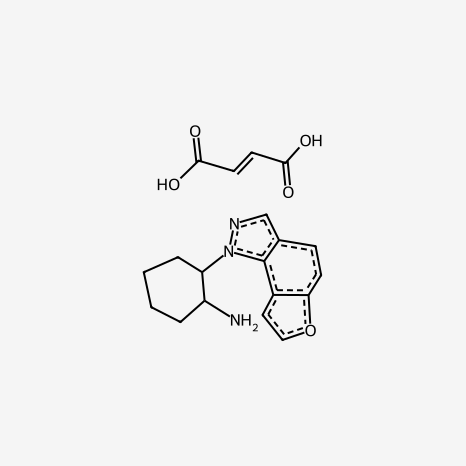 NC1CCCCC1n1ncc2ccc3occc3c21.O=C(O)C=CC(=O)O